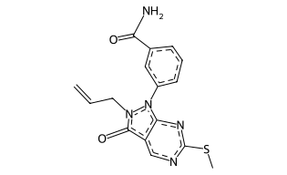 C=CCn1c(=O)c2cnc(SC)nc2n1-c1cccc(C(N)=O)c1